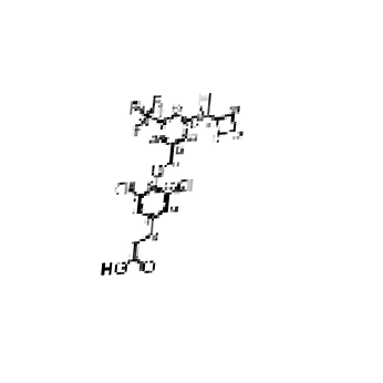 O=C(O)CCc1cc(Cl)c(OCc2cc(NC3CCC3)cc(C(F)(F)F)c2)c(Cl)c1